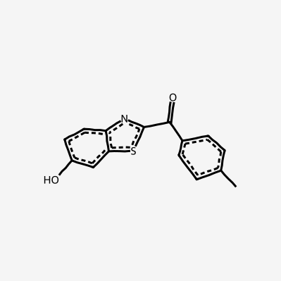 Cc1ccc(C(=O)c2nc3ccc(O)cc3s2)cc1